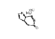 Cl.Cl.O=C1C=C2C=CN=C2C=N1